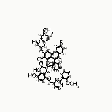 COc1ccccc1-c1nccc(COc2ccc(O)cc2CC(Oc2ncnc3oc(-c4ccc(F)cc4)c(-c4ccc(OC(CO)CN5CCN(C)CC5)c(Cl)c4C)c23)C(=O)O)n1